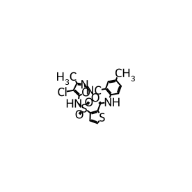 Cc1ccc(NC(=O)c2sccc2S(=O)(=O)Nc2onc(C)c2Cl)c(C#N)c1